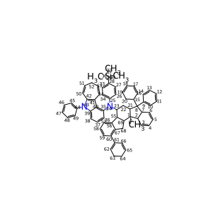 C[C@]12C3C=CC=CC3C(c3ccccc3)(C3C=CC=CC3)C1CC(N(c1ccc([Si](C)(C)C)cc1)c1cccc3c1c1c(n3-c3ccccc3)C=CCC=C1)C1c3cccc(C4=CCCC=C4)c3CC12